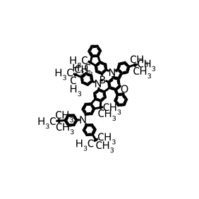 CC(C)(C)c1ccc(N2B3c4cc5c(cc4-n4c6ccc(C(C)(C)C)cc6c6c7oc8ccccc8c7c(c3c64)-c3cc4c(cc32)-c2ccc(N(c3ccc(C(C)(C)C)cc3)c3ccc(C(C)(C)C)cc3)cc2C4(C)C)-c2ccccc2C5(C)C)cc1